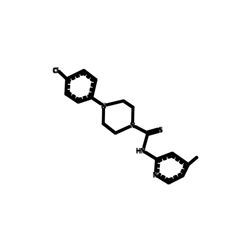 Cc1ccnc(NC(=S)N2CCN(c3ccc(Cl)cc3)CC2)c1